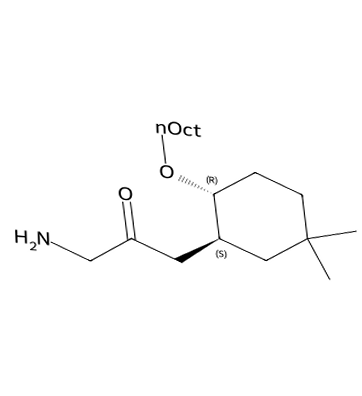 CCCCCCCCO[C@@H]1CCC(C)(C)C[C@H]1CC(=O)CN